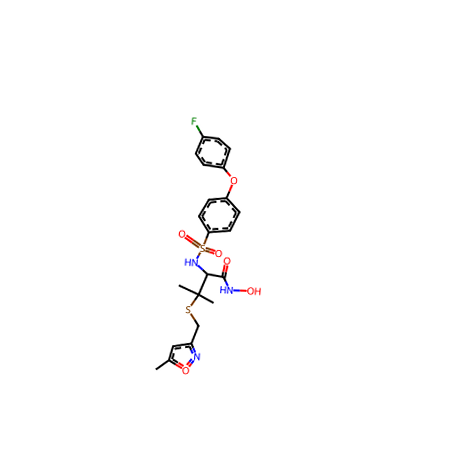 Cc1cc(CSC(C)(C)C(NS(=O)(=O)c2ccc(Oc3ccc(F)cc3)cc2)C(=O)NO)no1